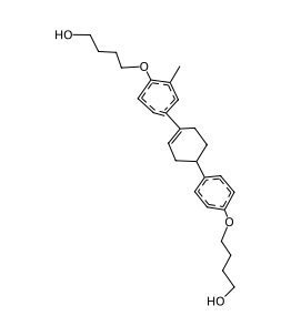 Cc1cc(C2=CCC(c3ccc(OCCCCO)cc3)CC2)ccc1OCCCCO